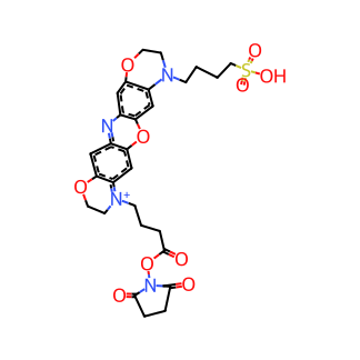 O=C(CCC[N+]1=c2cc3c(cc2OCC1)=Nc1cc2c(cc1O3)N(CCCCS(=O)(=O)O)CCO2)ON1C(=O)CCC1=O